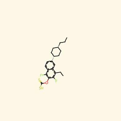 CCC[C@H]1CC[C@H](c2ccc3c(F)c(OC(=S)S)c(F)c(CC)c3c2)CC1